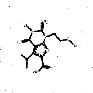 C=C1c2c(sc(C(=O)CCC)c2C(F)F)N(CCOCC)C(=C)N1CC